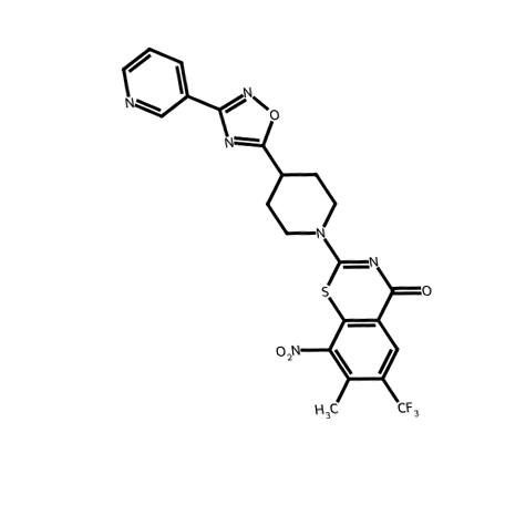 Cc1c(C(F)(F)F)cc2c(=O)nc(N3CCC(c4nc(-c5cccnc5)no4)CC3)sc2c1[N+](=O)[O-]